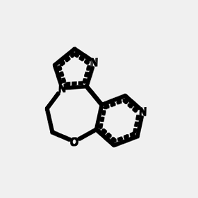 c1cc2c(cn1)-c1nccn1CCO2